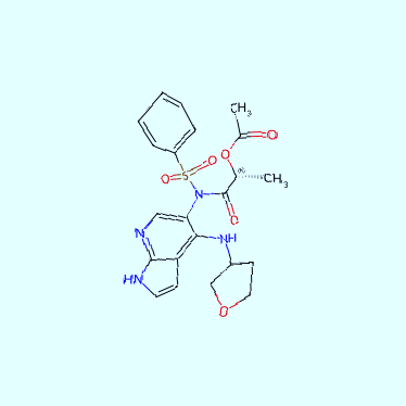 CC(=O)O[C@H](C)C(=O)N(c1cnc2[nH]ccc2c1NC1CCOC1)S(=O)(=O)c1ccccc1